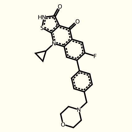 O=c1[nH]sc2c1c(=O)c1cc(F)c(-c3ccc(CN4CCOCC4)cc3)cc1n2C1CC1